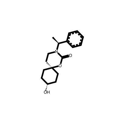 C[C@@H](c1ccccc1)N1CC[C@]2(CC[C@@H](O)CC2)OC1=O